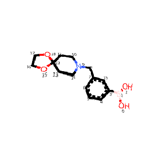 OB(O)c1cccc(CN2CCC3(CC2)OCCO3)c1